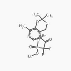 CCOP(=O)(OCC)C(F)(F)C(=O)c1cnc(C)c2c1COC(C)(C)O2